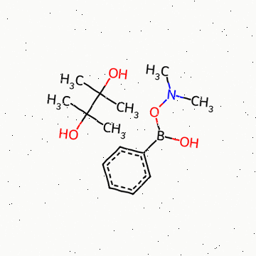 CC(C)(O)C(C)(C)O.CN(C)OB(O)c1ccccc1